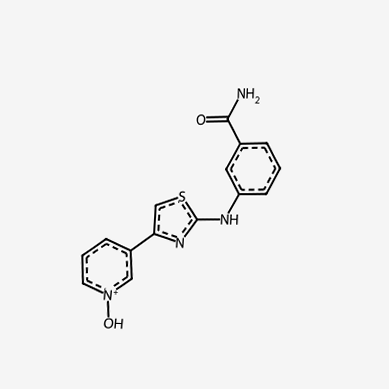 NC(=O)c1cccc(Nc2nc(-c3ccc[n+](O)c3)cs2)c1